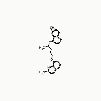 Cc1ccc2cccc(OC(C)CCCOc3cccc4ccc(N)nc34)c2n1